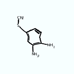 N#CSc1ccc(N)c(N)c1